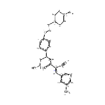 C=C(NC(CCC)c1ccc(OCCN2CC[S+]([O-])CC2)cc1)/C(C#N)=C/c1cccc(C)n1